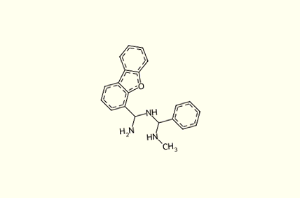 CNC(NC(N)c1cccc2c1oc1ccccc12)c1ccccc1